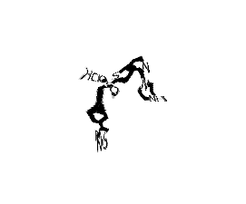 Cl.O=S(=O)(Cc1ccc(-c2csnn2)cc1)c1cc2c(N3CCNCC3)nccc2s1